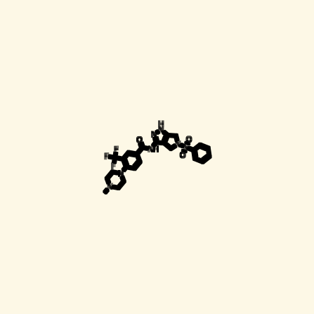 CN1CCN(c2ccc(C(=O)Nc3n[nH]c4c3CN(S(=O)(=O)c3ccccc3)C4)cc2C(F)(F)F)CC1